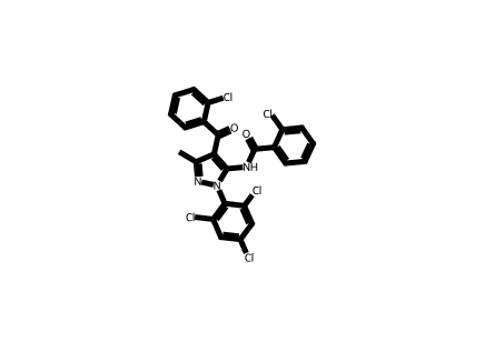 Cc1nn(-c2c(Cl)cc(Cl)cc2Cl)c(NC(=O)c2ccccc2Cl)c1C(=O)c1ccccc1Cl